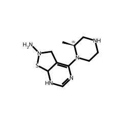 C[C@H]1CNCCN1C1=C2CN(N)SC2NC=N1